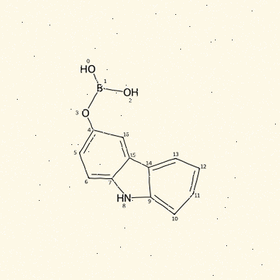 OB(O)Oc1ccc2[nH]c3ccccc3c2c1